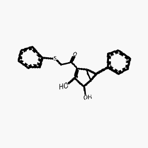 O=C(CSc1ccccc1)C1=C(O)C(O)C2C1C2c1ccccc1